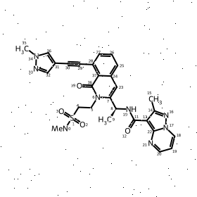 CNS(=O)(=O)CCn1c([C@H](C)NC(=O)c2c(C)nn3cccnc23)cc2cccc(C#Cc3cnn(C)c3)c2c1=O